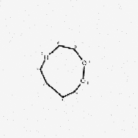 C1CCOOCCOC1